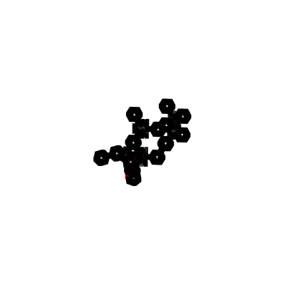 c1ccc(-c2ccc3c(c2)c2cc(-c4ccccc4)ccc2n3-c2ccc(-c3nc(-c4ccccc4)nc(-c4ccccc4)n3)cc2-c2nc(-c3ccccc3)nc(-c3cccc(-c4ccc(N5c6ccccc6B6c7ccccc7N(c7ccccc7)c7cccc5c76)cc4)c3)n2)cc1